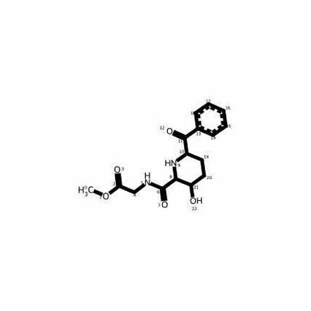 COC(=O)CNC(=O)C1NC(C(=O)c2ccccc2)CCC1O